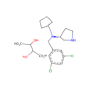 Clc1cc(Cl)cc(CN(C2CCCC2)[C@H]2CCNC2)c1.O=C(O)C(O)C(O)C(=O)O